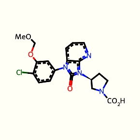 COCOc1cc(-n2c(=O)n([C@H]3CCN(C(=O)O)C3)c3ncccc32)ccc1Cl